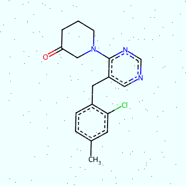 Cc1ccc(Cc2cncnc2N2CCCC(=O)C2)c(Cl)c1